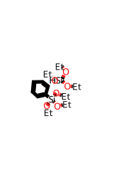 CCO[SiH](OCC)OCC.CCO[Si](OCC)(OCC)c1ccccc1